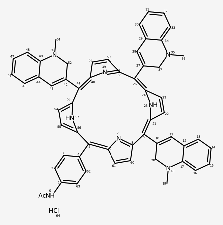 CC(=O)Nc1ccc(-c2c3nc(c(C4=Cc5ccccc5N(C)C4)c4ccc([nH]4)c(C4=Cc5ccccc5N(C)C4)c4nc(c(C5=Cc6ccccc6N(C)C5)c5ccc2[nH]5)C=C4)C=C3)cc1.Cl